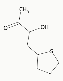 CC(=O)C(O)CC1CCCS1